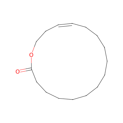 O=C1CCCCCCCCCCCC=CCCO1